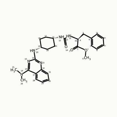 COC(=O)[C@H](Cc1ccccc1)NC(=O)N[C@H]1CC[C@@H](Nc2nc(N(C)C)c3ccccc3n2)CC1